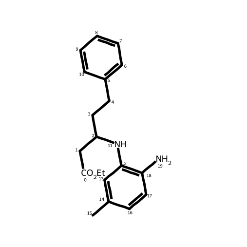 CCOC(=O)CC(CCc1ccccc1)Nc1cc(C)ccc1N